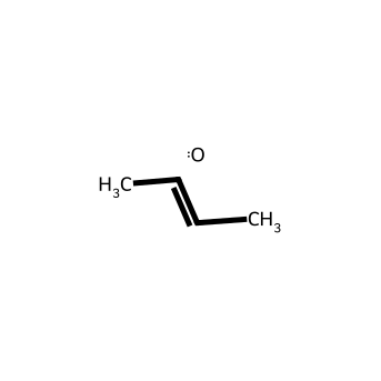 CC=CC.[O]